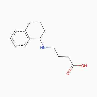 O=C(O)CCCNC1CCCc2ccccc21